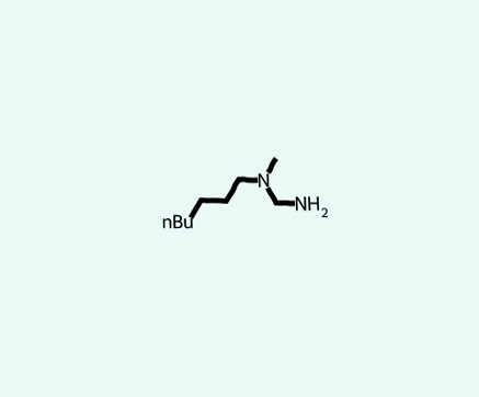 CCCCCCCN(C)CN